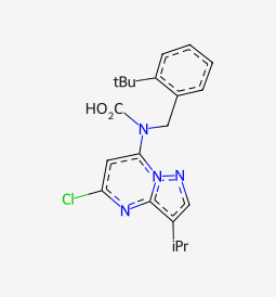 CC(C)c1cnn2c(N(Cc3ccccc3C(C)(C)C)C(=O)O)cc(Cl)nc12